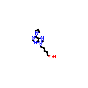 OCCCCCn1cnc2c(N3CCC3)ncnc21